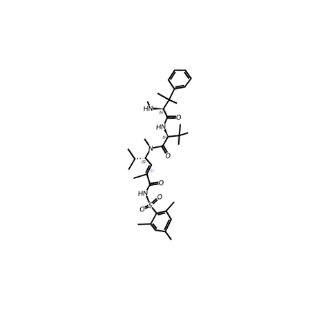 CN[C@H](C(=O)N[C@H](C(=O)N(C)[C@H](/C=C(\C)C(=O)NS(=O)(=O)c1c(C)cc(C)cc1C)C(C)C)C(C)(C)C)C(C)(C)c1ccccc1